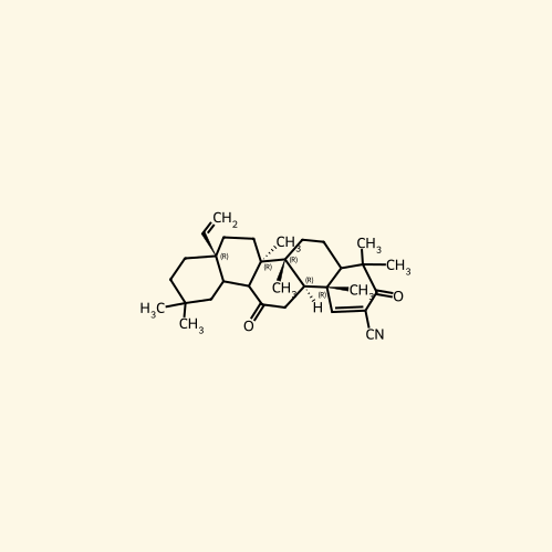 C=C[C@]12CCC(C)(C)CC1C1C(=O)C[C@@H]3[C@@]4(C)C=C(C#N)C(=O)C(C)(C)C4CC[C@@]3(C)[C@]1(C)CC2